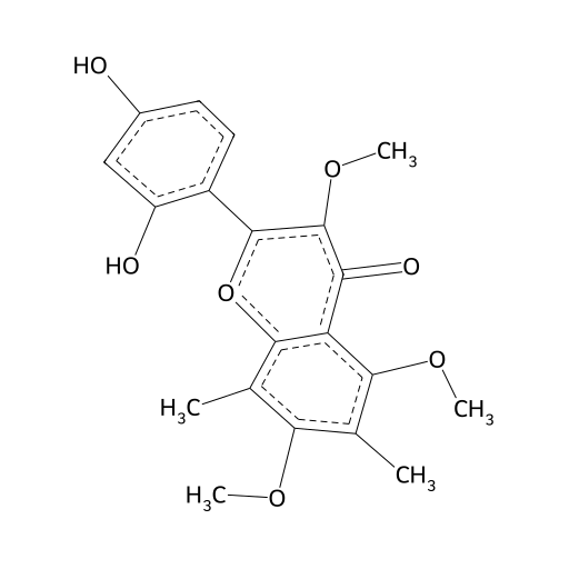 COc1c(C)c(OC)c2c(=O)c(OC)c(-c3ccc(O)cc3O)oc2c1C